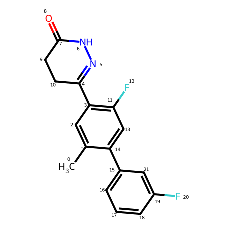 Cc1cc(C2=NNC(=O)CC2)c(F)cc1-c1cccc(F)c1